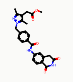 COC(=O)Cc1c(C)nn(Cc2ccc(C(=O)Nc3ccc4c(c3)CC(=O)NC4=O)cc2)c1C